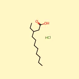 CCCCCCCCC(CC)CC(=O)O.Cl